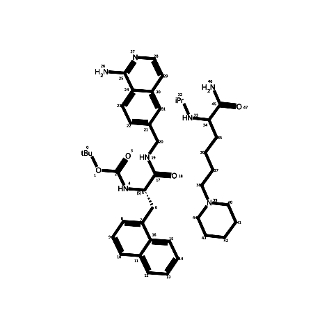 CC(C)(C)OC(=O)N[C@@H](Cc1cccc2ccccc12)C(=O)NCc1ccc2c(N)nccc2c1.CC(C)NC(CCCCN1CCCCC1)C(N)=O